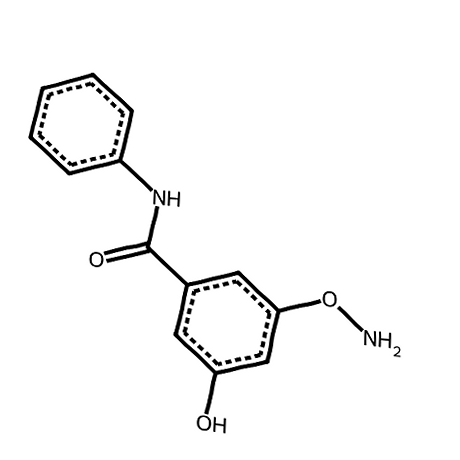 NOc1cc(O)cc(C(=O)Nc2ccccc2)c1